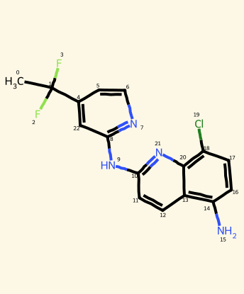 CC(F)(F)c1ccnc(Nc2ccc3c(N)ccc(Cl)c3n2)c1